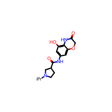 CC(C)N1CCC(C(=O)Nc2cc(O)c3c(c2)OCC(=O)N3)C1